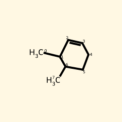 C[C]1C=CCCC1C